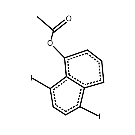 CC(=O)Oc1cccc2c(I)ccc(I)c12